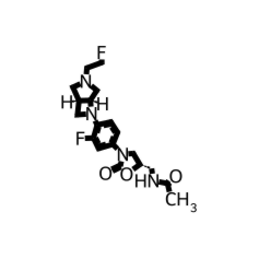 CC(=O)NC[C@H]1CN(c2ccc(N3C[C@H]4CN(CCF)C[C@H]43)c(F)c2)C(=O)O1